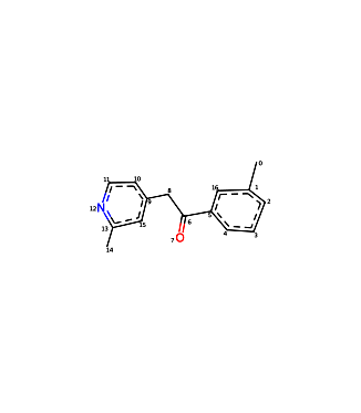 Cc1cccc(C(=O)Cc2ccnc(C)c2)c1